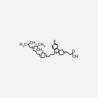 CC(C)CN(CCCN1CCN(CCCn2c3c(c4cc(F)ccc42)CN(CCC(=O)O)CC3)CC1)CC(C)C